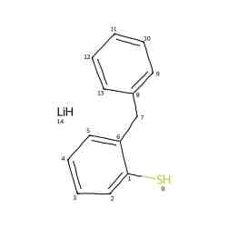 Sc1ccccc1Cc1ccccc1.[LiH]